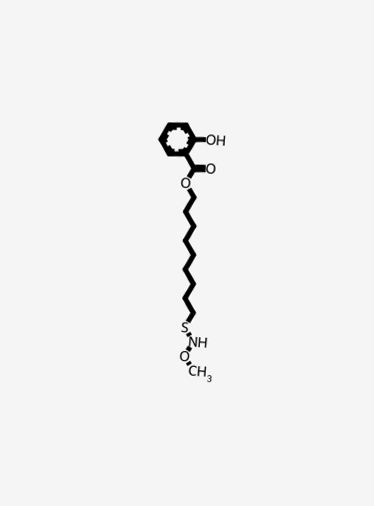 CONSCCCCCCCCCOC(=O)c1ccccc1O